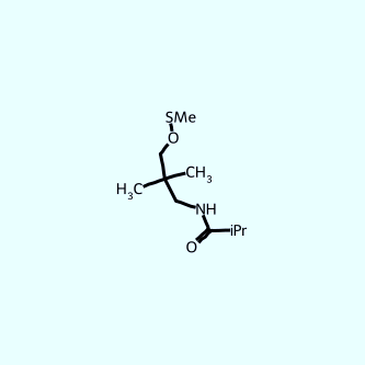 CSOCC(C)(C)CNC(=O)C(C)C